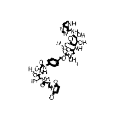 CC(C)[C@H](NC(=O)CCN1C(=O)C=CC1=O)C(=O)N[C@@H](C)C(=O)Nc1ccc(COC(=O)N(C)CC(=O)N[C@@H]2[C@@H](O)[C@@H](O)[C@@H](Nc3ncnc4cc[nH]c34)O[C@H]2C)cc1